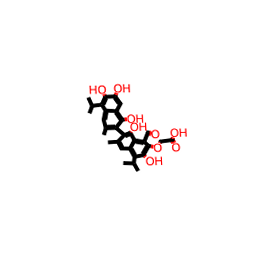 Cc1cc2c(C(C)C)c(O)c(O)cc2c(O)c1-c1c(C)cc2c(C(C)C)c(O)c(OCC(=O)O)c(C=O)c2c1O